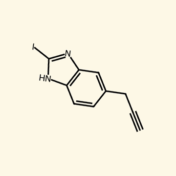 C#CCc1ccc2[nH]c(I)nc2c1